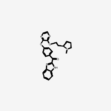 CN1CCCC1CCOc1nccnc1Oc1ccc(C(=O)c2nc3ccccc3[nH]2)cc1